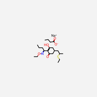 CCCC(=NOCC)C1=C(O)CC(CC(C)SCC)CC1=O.CCCC(=O)[O-].[Na+]